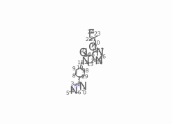 C=N/C(=C\N(C)C)c1ccc(CN2Cc3ncnc(OCC(C)(C)F)c3C2=O)cc1